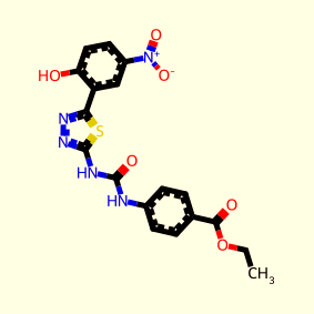 CCOC(=O)c1ccc(NC(=O)Nc2nnc(-c3cc([N+](=O)[O-])ccc3O)s2)cc1